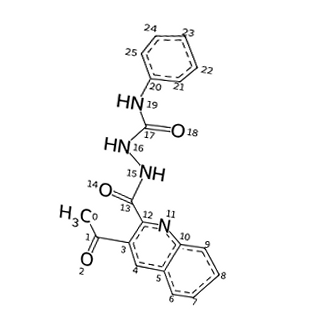 CC(=O)c1cc2ccccc2nc1C(=O)NNC(=O)Nc1ccccc1